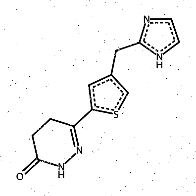 O=C1CCC(c2cc(Cc3ncc[nH]3)cs2)=NN1